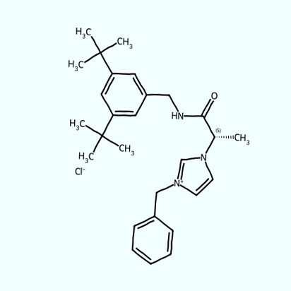 C[C@@H](C(=O)NCc1cc(C(C)(C)C)cc(C(C)(C)C)c1)n1cc[n+](Cc2ccccc2)c1.[Cl-]